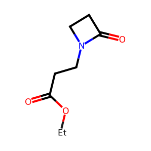 CCOC(=O)CCN1CCC1=O